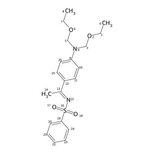 CCOCN(COCC)c1ccc(C(C)=NS(=O)(=O)c2ccccc2)cc1